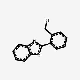 ClCc1ccccc1-c1nc2ccccc2s1